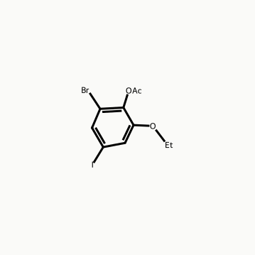 CCOc1cc(I)cc(Br)c1OC(C)=O